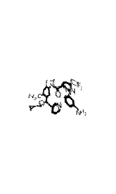 CC1C=C(F)C(NC(=O)c2cc(C(F)(F)F)nn2-c2cccc(CN)c2)=CC1C(OCC1CC1)c1cccnc1